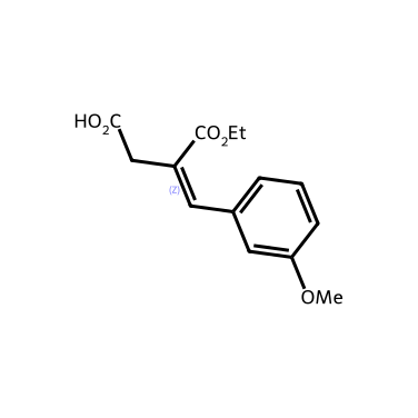 CCOC(=O)/C(=C\c1cccc(OC)c1)CC(=O)O